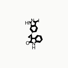 O=C1Nc2ccccc2[C@]12C[C@@H]2c1ccc2c(I)n[nH]c2c1